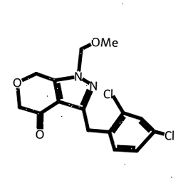 COCn1nc(Cc2ccc(Cl)cc2Cl)c2c1COCC2=O